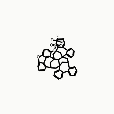 O=S(=O)(Oc1ccc2oc3cccc4c3c2c1C12CC3CC5(CC6CC(CC4C1)(c1ccccc1-c1ccccc16)C52)c1ccccc1-c1ccccc13)C(F)(F)F